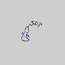 O=S(=O)(O)c1ccc2nc3ccccc3nc2c1